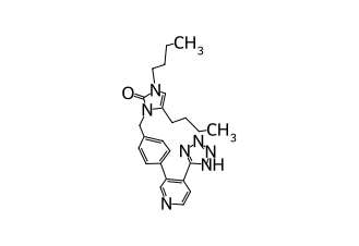 CCCCc1cn(CCCC)c(=O)n1Cc1ccc(-c2cnccc2-c2nnn[nH]2)cc1